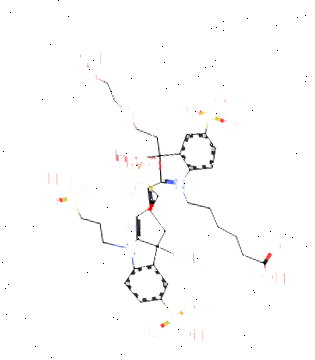 COCCOCCC1(C)C(/C=C/C=C2/N(CCCS(=O)(=O)O)c3ccc(S(=O)(=O)O)cc3C2(C)CCCS(=O)(=O)O)=[N+](CCCCCC(=O)O)c2ccc(S(=O)(=O)[O-])cc21